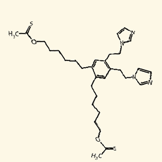 CC(=S)OCCCCCCc1cc(CCn2ccnc2)c(CCn2ccnc2)cc1CCCCCCOC(C)=S